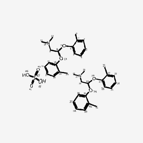 Cc1ccccc1OC(CN(C)C)Oc1ccccc1C.Cc1ccccc1OC(CN(C)C)Oc1ccccc1C.O=S(=O)(O)O